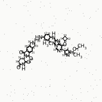 CCOC(C)n1cc(-c2ncn3nc(Nc4ccc(NCCN5Cc6cc7c(cc6C5)C(=O)N(C5CCC(=O)NC5=O)C7=O)cc4C)nc3c2OC2CCC2)cn1